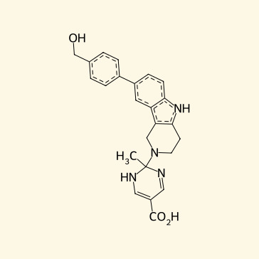 CC1(N2CCc3[nH]c4ccc(-c5ccc(CO)cc5)cc4c3C2)N=CC(C(=O)O)=CN1